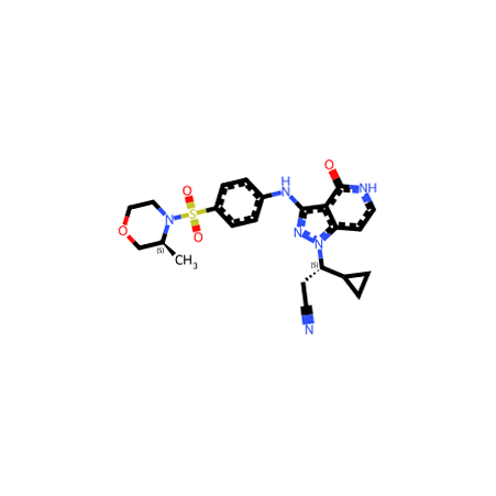 C[C@H]1COCCN1S(=O)(=O)c1ccc(Nc2nn([C@@H](CC#N)C3CC3)c3cc[nH]c(=O)c23)cc1